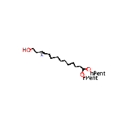 CCCCCOC(CCCCCCCCC/C=C/CCO)OCCCCC